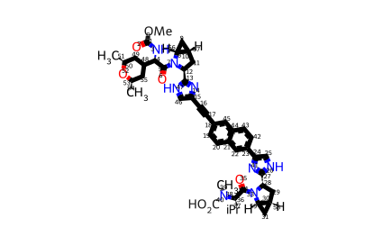 COC(=O)N[C@H](C(=O)N1[C@@H]2C[C@@H]2C[C@H]1c1nc(C#Cc2ccc3cc(-c4c[nH]c([C@@H]5C[C@H]6C[C@H]6N5C(=O)[C@H](C(C)C)N(C)C(=O)O)n4)ccc3c2)c[nH]1)C1C[C@@H](C)O[C@@H](C)C1